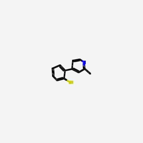 Cc1cc(-c2ccccc2S)ccn1